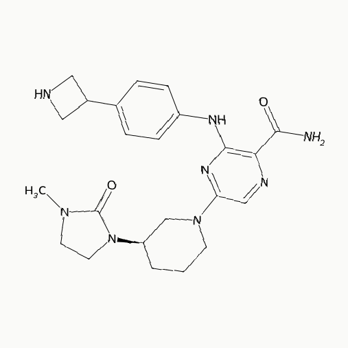 CN1CCN([C@@H]2CCCN(c3cnc(C(N)=O)c(Nc4ccc(C5CNC5)cc4)n3)C2)C1=O